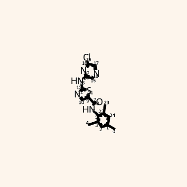 Cc1cc(C)c(NC(=O)c2cnc(Nc3cncc(Cl)n3)s2)c(C)c1